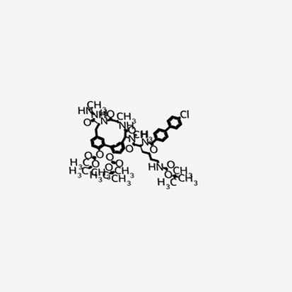 CNNC(=O)[C@@H]1Cc2ccc(OC(=O)OC(C)(C)C)c(c2)-c2cc(ccc2OC(=O)OC(C)(C)C)[C@H](N(C)C(=O)[C@H](CCCCNC(=O)OC(C)(C)C)NC(=O)c2ccc(-c3ccc(Cl)cc3)cc2)C(=O)N[C@@H](C)C(=O)N1